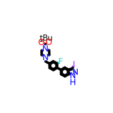 CC(C)(C)OC(=O)N1CCN(Cc2ccc(-c3ccc4[nH]nc(I)c4c3)c(F)c2)CC1